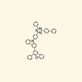 c1ccc(-c2ccc(-c3nc(-c4ccccc4)nc(-c4ccc(-n5c6ccccc6c6cc(-c7cc(-c8ccccc8)c8oc9ccccc9c8c7)ccc65)cc4)n3)cc2)cc1